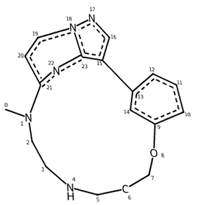 CN1CCNCCCOc2cccc(c2)-c2cnn3ccc1nc23